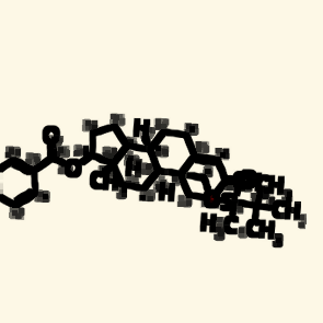 CC(C)(C)[Si](C)(C)OC[C@]12CCC(=O)C=C1CC[C@@H]1[C@@H]2CC[C@]2(C)C(OC(=O)c3ccccc3)CC[C@@H]12